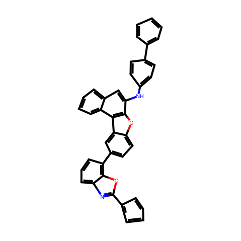 c1ccc(-c2ccc(Nc3cc4ccccc4c4c3oc3ccc(-c5cccc6nc(-c7ccccc7)oc56)cc34)cc2)cc1